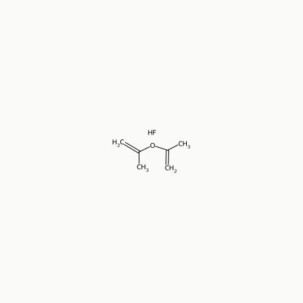 C=C(C)OC(=C)C.F